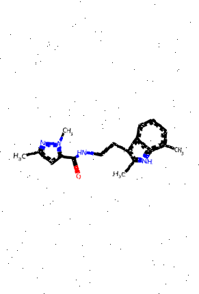 Cc1cc(C(=O)NCCc2c(C)[nH]c3c(C)cccc23)n(C)n1